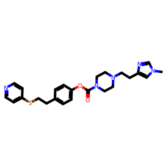 Cn1cnc(CCN2CCN(C(=O)Oc3ccc(CCSc4ccncc4)cc3)CC2)c1